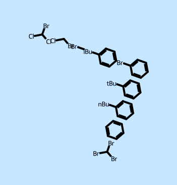 BrC(Br)Br.Brc1ccccc1.CBr.CC(C)(C)c1ccccc1.CCC(C)c1ccccc1.CCCCc1ccccc1.ClC(Cl)Br.ClCBr.c1ccccc1